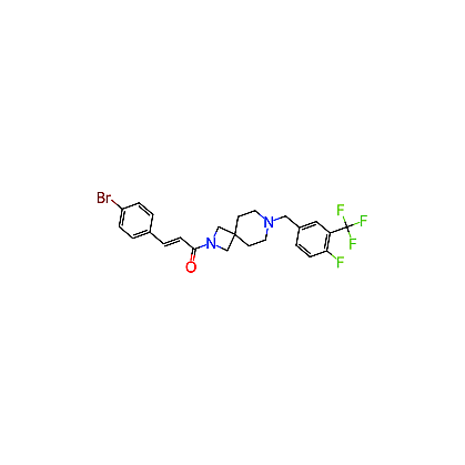 O=C(C=Cc1ccc(Br)cc1)N1CC2(CCN(Cc3ccc(F)c(C(F)(F)F)c3)CC2)C1